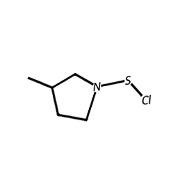 CC1CCN(SCl)C1